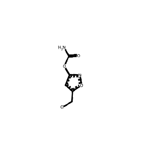 NC(=O)Oc1cc(CCl)on1